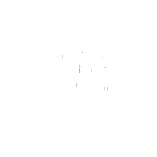 O=S(=O)(O)C(F)(F)F.O=S(=O)(O)CCCc1nc(C(O)CO)c[nH]1